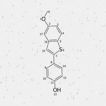 COc1ccc2sc(-c3ccc(O)cc3)cc2c1